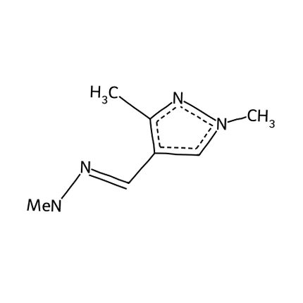 CNN=Cc1cn(C)nc1C